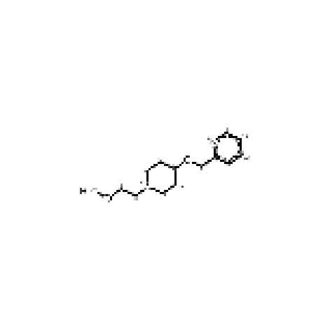 COCCN1CCC(OCc2ccccn2)CC1